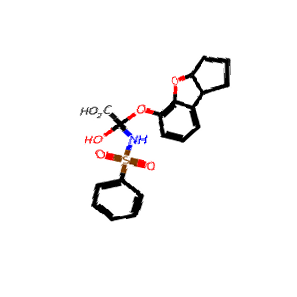 O=C(O)C(O)(NS(=O)(=O)c1ccccc1)Oc1cccc2c1OC1CCCC21